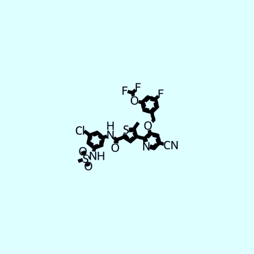 Cc1sc(C(=O)Nc2cc(Cl)cc(NS(C)(=O)=O)c2)cc1-c1ncc(C#N)cc1OCc1cc(F)cc(OC(F)F)c1